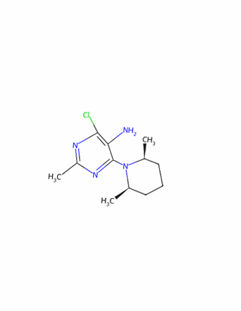 Cc1nc(Cl)c(N)c(N2[C@H](C)CCC[C@@H]2C)n1